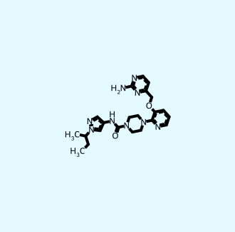 CCC(C)n1cc(NC(=O)N2CCN(c3ncccc3OCc3ccnc(N)n3)CC2)cn1